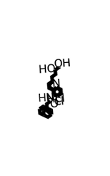 Cl.O=C(CC12CC3CC(CC(C3)C1)C2)Nc1c(Cl)ccc2nc(CCC(O)CO)ccc12